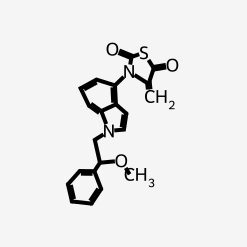 C=C1C(=O)SC(=O)N1c1cccc2c1ccn2CC(OC)c1ccccc1